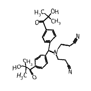 CC(C)(O)C(=O)c1ccc(C(c2ccc(C(=O)C(C)(C)O)cc2)N(CCC#N)CCC#N)cc1